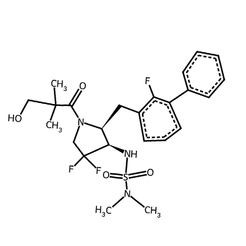 CN(C)S(=O)(=O)N[C@@H]1[C@H](Cc2cccc(-c3ccccc3)c2F)N(C(=O)C(C)(C)CO)CC1(F)F